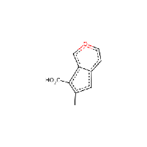 Cc1cc2ccocc-2c1C(=O)O